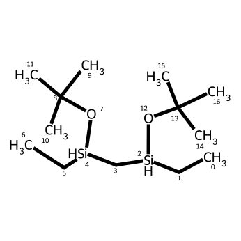 CC[SiH](C[SiH](CC)OC(C)(C)C)OC(C)(C)C